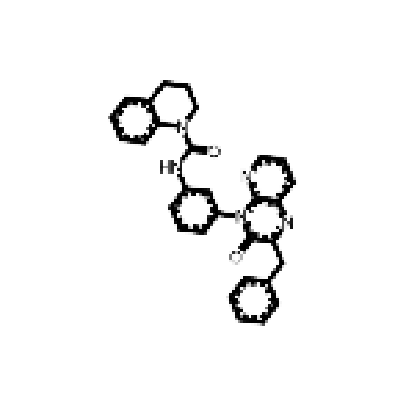 O=C(Nc1cccc(-n2c(=O)c(Cc3ccccc3)nc3cccnc32)c1)N1CCCc2ccccc21